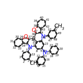 Cc1cccc(N2c3cc(N(c4ccccc4)c4ccccc4)cc4c3B(c3oc5ccccc5c32)c2oc3ccccc3c2N4c2cccc(C)c2)c1